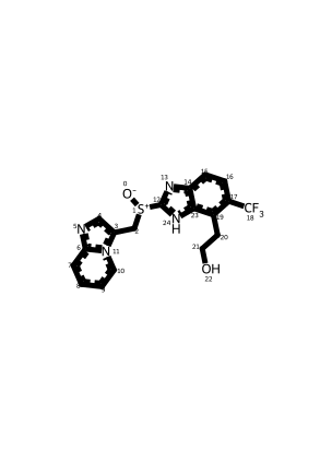 [O-][S+](Cc1cnc2ccccn12)c1nc2ccc(C(F)(F)F)c(CCO)c2[nH]1